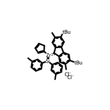 Cc1cccc([Si](c2cccc(C)c2)=[Zr+2]([C]2=CC=CC2)[CH]2c3cc(C)c(C(C)(C)C)cc3-c3cc(C(C)(C)C)c(C)cc32)c1.[Cl-].[Cl-]